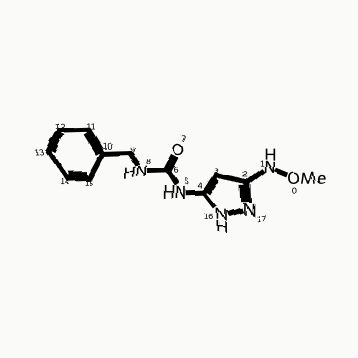 CONc1cc(NC(=O)NCc2ccccc2)[nH]n1